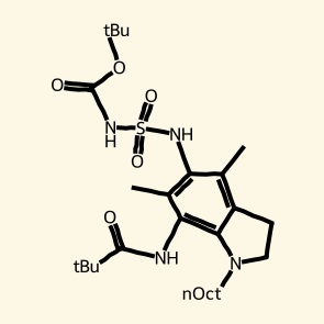 CCCCCCCCN1CCc2c(C)c(NS(=O)(=O)NC(=O)OC(C)(C)C)c(C)c(NC(=O)C(C)(C)C)c21